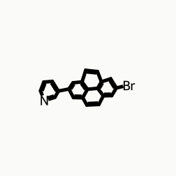 Brc1cc2ccc3cc(-c4cccnc4)cc4ccc(c1)c2c34